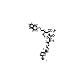 Nc1nc(C(F)(F)ON=CC(=O)NC2C(=O)N3C(C(=O)O)=C(/C=C/C[n+]4ccc5scnc5c4)SCC23)cs1